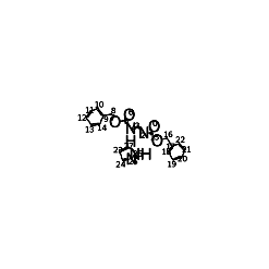 O=C(N=CNC(=O)OCc1ccccc1)OCc1ccccc1.c1cn[nH]c1